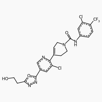 O=C(Nc1ccc(C(F)(F)F)c(Cl)c1)N1CC=C(c2ncc(-c3nnc(CCO)o3)cc2Cl)CC1